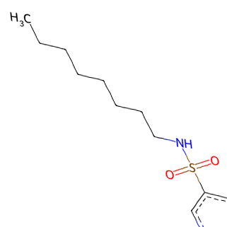 CCCCCCCCNS(=O)(=O)c1cccnc1